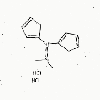 C[Si](C)=[Hf]([C]1=CC=CC1)[C]1=CC=CC1.Cl.Cl